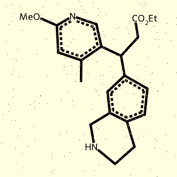 CCOC(=O)CC(c1ccc2c(c1)CNCC2)c1cnc(OC)cc1C